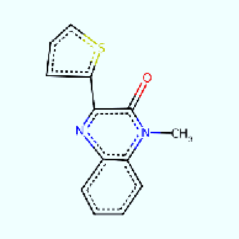 Cn1c(=O)c(-c2cccs2)nc2ccccc21